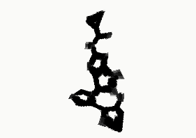 O=C(Nc1nc2[nH]nc(-n3cncc3-c3sccc3Br)c2s1)C1CC1